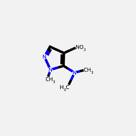 CN(C)c1c([N+](=O)[O-])cnn1C